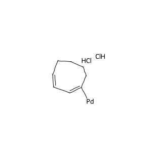 Cl.Cl.[Pd][C]1=CC=CCCCC1